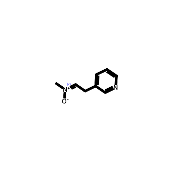 C/[N+]([O-])=C/Cc1cccnc1